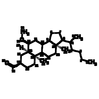 CCCCC(C)C1CCC2C3C[C@H](OP)[C@@H]4C[C@H](P=O)CC[C@]4(C)C3CC[C@]12C